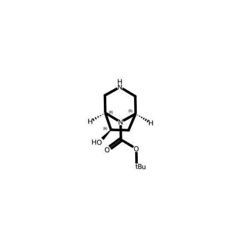 CC(C)(C)OC(=O)N1[C@H]2CNC[C@@H]1[C@H](O)C2